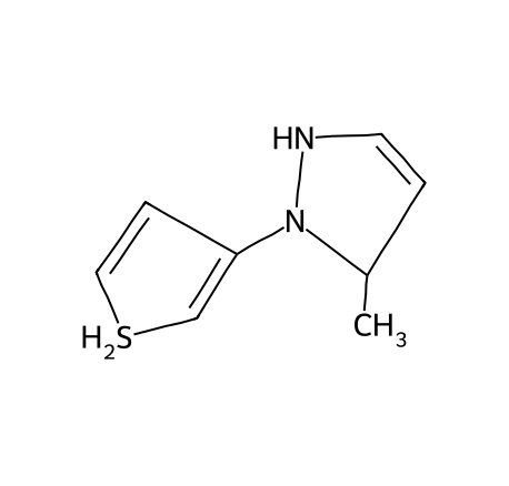 CC1C=CNN1C1=C[SH2]C=C1